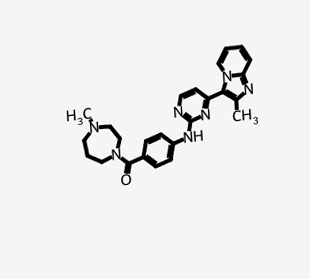 Cc1nc2ccccn2c1-c1ccnc(Nc2ccc(C(=O)N3CCCN(C)CC3)cc2)n1